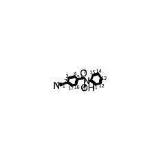 N#Cc1ccc(C(=O)N(O)c2ccccc2)cc1